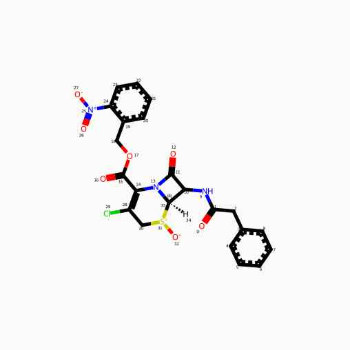 O=C(Cc1ccccc1)NC1C(=O)N2C(C(=O)OCc3ccccc3[N+](=O)[O-])=C(Cl)C[S+]([O-])[C@H]12